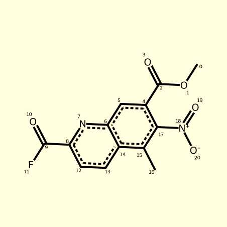 COC(=O)c1cc2nc(C(=O)F)ccc2c(C)c1[N+](=O)[O-]